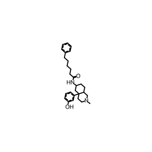 CN1CCC2(c3cccc(O)c3)CC(NC(=O)CCCCCc3ccccc3)CCC2C1